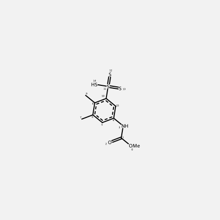 COC(=O)Nc1cc(C)c(C)c(S(=S)(=S)S)c1